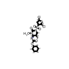 Cn1c(=O)n(S(=O)(=O)c2cc(Cl)sc2Cl)cc(F)/c1=N\C(=O)Oc1ccccc1